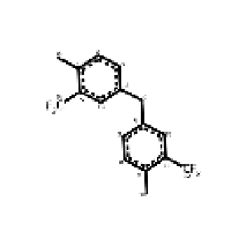 Cc1ccc(Cc2ccc(C)c(C(F)(F)F)c2)cc1C(F)(F)F